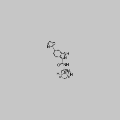 CN1[C@@H]2CC[C@H]1C[C@H](NC(=O)c1n[nH]c3cc(-c4ncco4)ccc13)C2